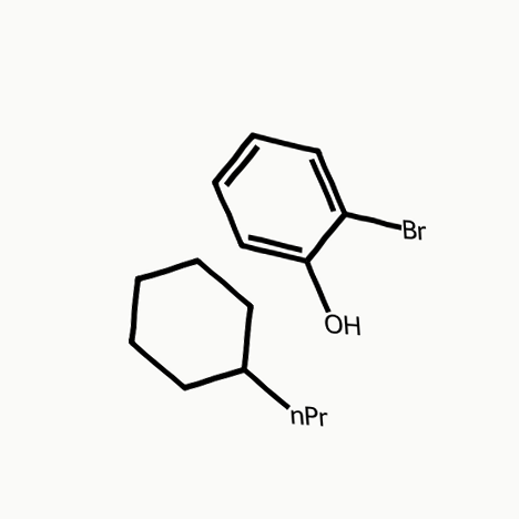 CCCC1CCCCC1.Oc1ccccc1Br